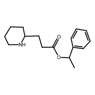 CC(OC(=O)CCC1CCCCN1)c1ccccc1